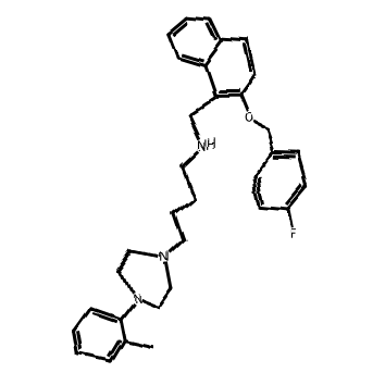 Cc1ccccc1N1CCN(CCCCNCc2c(OCc3ccc(F)cc3)ccc3ccccc23)CC1